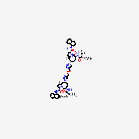 CN[C@@H](C)C(=O)N[C@H]1CC[C@H](n2cc(COCc3cn([C@H]4CC[C@H](NC(=O)[C@H](C)NC)C(=O)N5[C@H](CC[C@H]5C(=O)N[C@@H]5CCCc6ccccc65)C4)nn3)nn2)C[C@H]2CC[C@@H](C(=O)N[C@@H]3CCCc4ccccc43)N2C1=O